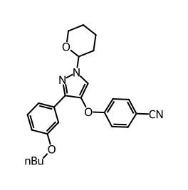 CCCCOc1cccc(-c2nn(C3CCCCO3)cc2Oc2ccc(C#N)cc2)c1